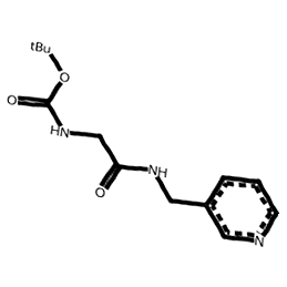 CC(C)(C)OC(=O)NCC(=O)NCc1cccnc1